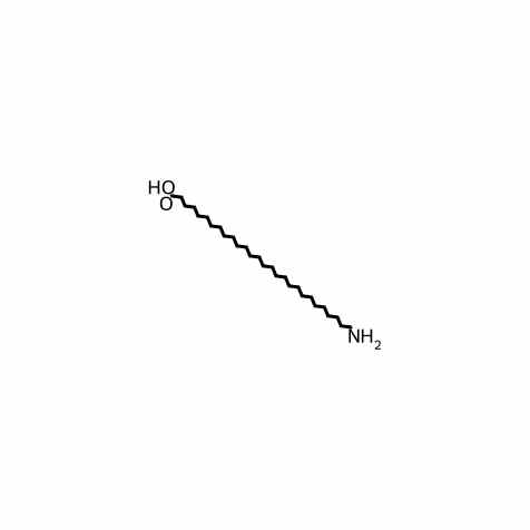 NCCCCCCCCCCCCCCCCCCCCCCCCCCCC(=O)O